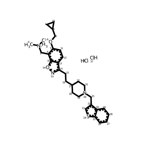 CN(C)Cc1c(OCC2CC2)ccc2c(CCC3CCN(Cc4csc5ccccc45)CC3)noc12.Cl.Cl